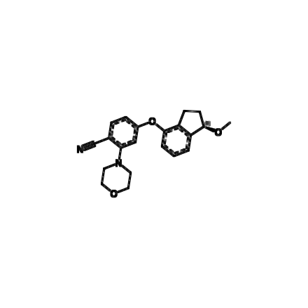 CO[C@@H]1CCc2c(Oc3ccc(C#N)c(N4CCOCC4)c3)cccc21